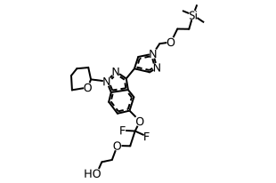 C[Si](C)(C)CCOCn1cc(-c2nn(C3CCCCO3)c3ccc(OC(F)(F)COCCO)cc23)cn1